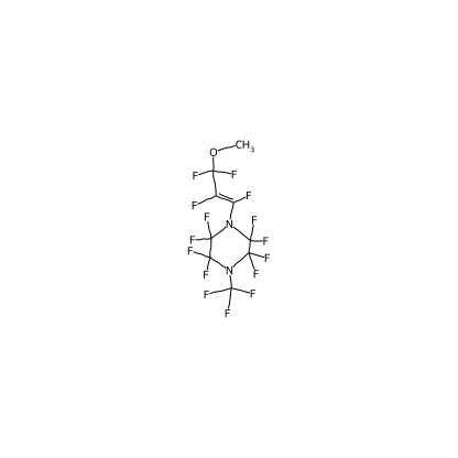 COC(F)(F)/C(F)=C(\F)N1C(F)(F)C(F)(F)N(C(F)(F)F)C(F)(F)C1(F)F